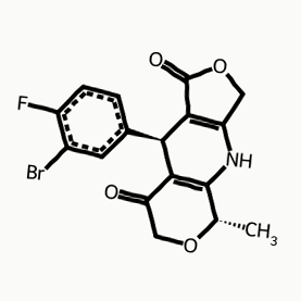 C[C@@H]1OCC(=O)C2=C1NC1=C(C(=O)OC1)[C@@H]2c1ccc(F)c(Br)c1